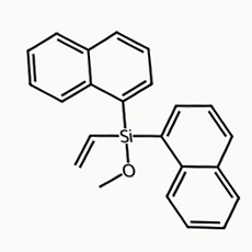 C=C[Si](OC)(c1cccc2ccccc12)c1cccc2ccccc12